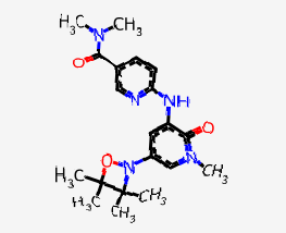 CN(C)C(=O)c1ccc(Nc2cc(N3OC(C)(C)C3(C)C)cn(C)c2=O)nc1